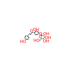 O=C(C=Cc1ccc(O)cc1)c1ccc(OC2OC(CO)C(O)C(O)C2O)cc1O